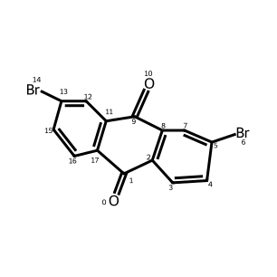 O=C1c2ccc(Br)cc2C(=O)c2cc(Br)ccc21